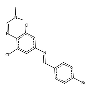 CN(C)/C=N\c1c(Cl)cc(/N=C/c2ccc(Br)cc2)cc1Cl